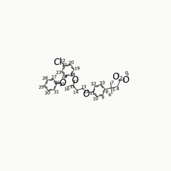 COC(=O)CC(C)(C)c1ccc(OCCC(C)Oc2ccc(Cl)cc2Oc2ccccc2)cc1